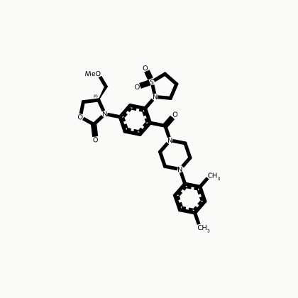 COC[C@@H]1COC(=O)N1c1ccc(C(=O)N2CCN(c3ccc(C)cc3C)CC2)c(N2CCCS2(=O)=O)c1